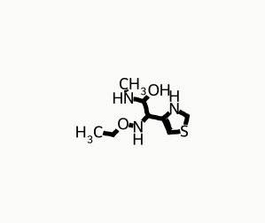 CCONC(C1=CSCN1)C(O)NC